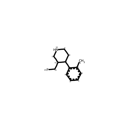 Cc1ccccc1C1CCNCC1CF